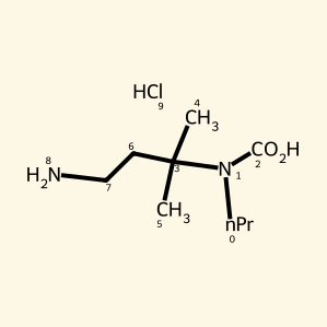 CCCN(C(=O)O)C(C)(C)CCN.Cl